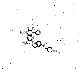 CC[C@@H]1C(=O)N(C)c2cc(N)c(N3CCc4cc(C(=O)NC5CCN(C)CC5)ccc43)nc2N1C1CCCC1